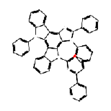 c1ccc(-c2nc3c4c5ccccc5n(-c5ccccc5)c4c4c5ccccc5n(-c5cccc(-c6cccnc6)n5)c4c3n2-c2ccccc2)cc1